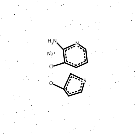 Nc1ncccc1Cl.[Na+].[O-]c1ccsc1